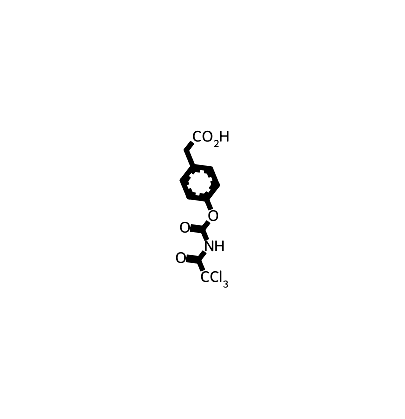 O=C(O)Cc1ccc(OC(=O)NC(=O)C(Cl)(Cl)Cl)cc1